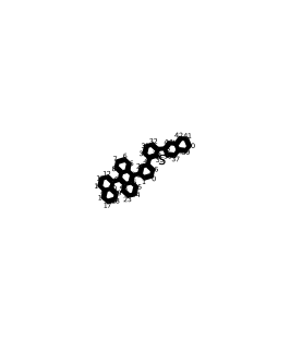 c1cc(-c2c3ccccc3c(-c3cccc4ccccc34)c3ccccc23)cc(-c2cccc3c2sc2cc4ccccc4cc23)c1